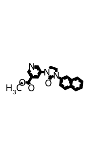 COC(=O)c1cncc(N2CCN(c3ccc4ccccc4c3)C2=O)c1